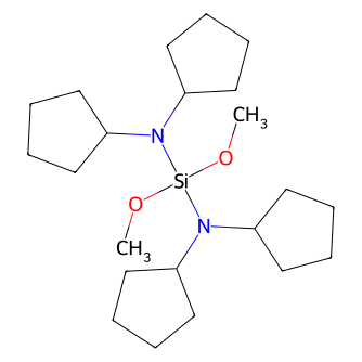 CO[Si](OC)(N(C1CCCC1)C1CCCC1)N(C1CCCC1)C1CCCC1